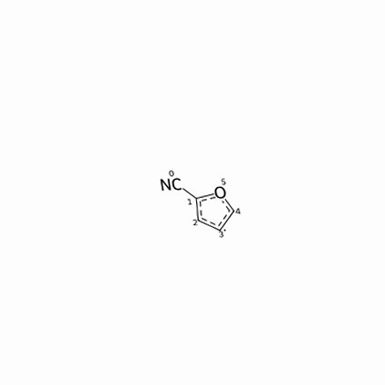 N#Cc1c[c]co1